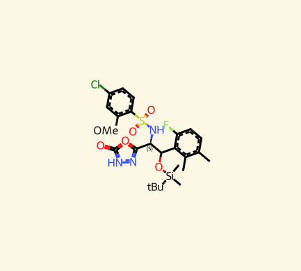 COc1cc(Cl)ccc1S(=O)(=O)N[C@H](c1n[nH]c(=O)o1)C(O[Si](C)(C)C(C)(C)C)c1c(F)ccc(C)c1C